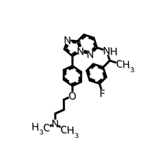 CC(Nc1ccc2ncc(-c3ccc(OCCCN(C)C)cc3)n2n1)c1cccc(F)c1